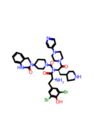 N[C@H](Cc1cc(Br)c(O)c(Br)c1)C(=O)N(C(=O)N1CCC(N2Cc3ccccc3NC2=O)CC1)[C@H](CC1CCNCC1)C(=O)N1CCN(c2ccncc2)CC1